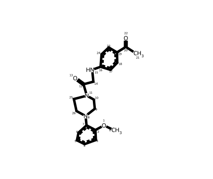 COc1ccccc1N1CCN(C(=O)CNc2ccc(C(C)=O)cc2)CC1